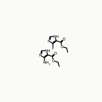 CCOC(=O)c1[nH]cnc1F.CCOC(=O)c1[nH]cnc1N